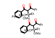 CC[Si](OC)(OC)C(C(=O)c1ccccc1)C(=O)C(C)C.CC[Si](OC)(OC)C(C(=O)c1ccccc1)C(=O)C(C)C.[Pt+2]